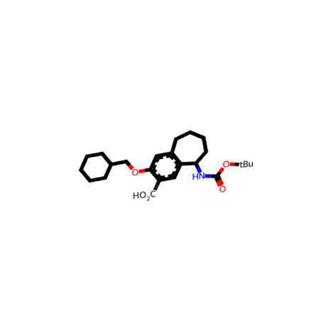 CC(C)(C)OC(=O)NC1CCCCc2cc(OCC3CCCCC3)c(C(=O)O)cc21